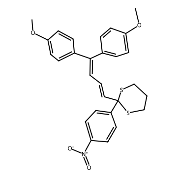 COc1ccc(C(=CC=CC2(c3ccc([N+](=O)[O-])cc3)SCCCS2)c2ccc(OC)cc2)cc1